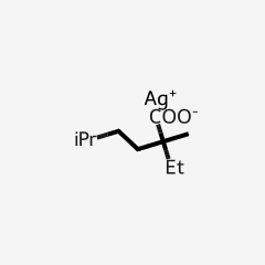 CCC(C)(CCC(C)C)C(=O)[O-].[Ag+]